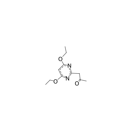 CCOc1cc(OCC)nc(CC(C)=O)n1